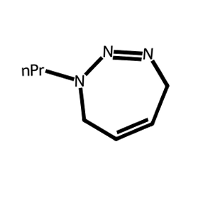 CCCN1CC=CCN=N1